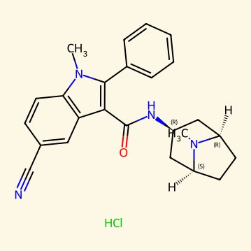 CN1[C@@H]2CC[C@H]1C[C@@H](NC(=O)c1c(-c3ccccc3)n(C)c3ccc(C#N)cc13)C2.Cl